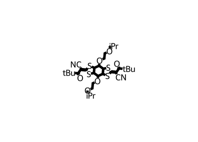 CC(C)OCCOC1C2SC(=C(C#N)C(=O)C(C)(C)C)SC2C(OCCOC(C)C)C2SC(=C(C#N)C(=O)C(C)(C)C)SC12